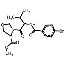 COC(=O)[C@@H]1COCN1C(=O)C(NC(=O)c1ccc(Br)cc1)C(C)C